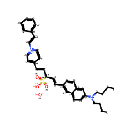 CCCCN(CCCC)c1ccc2cc(C=CC(CCc3cc[n+](C=Cc4ccccc4)cc3)S(=O)(=O)O)ccc2c1.[OH-]